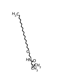 CCCCCCCCCCCCCCCCCCOCCCNC(=O)CN(C)C